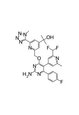 Cc1cc(-c2c(OCc3cc(C(C)(C)O)cc(-c4nnnn4C)n3)nc(N)nc2-c2ccc(F)cc2)cc(C(F)F)n1